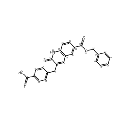 O=C(O)c1ccc(Cc2cc3cc(C(=O)OCc4ccccc4)ccc3[nH]c2=O)cc1